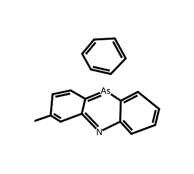 Cc1ccc2c(c1)=Nc1ccccc1[As]=2.c1ccccc1